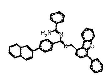 N/C(=N\C(=N/Cc1ccc(-c2ccccc2)c2oc3ccccc3c12)c1ccc(C2=CC3C=CC=CC3C=C2)cc1)c1ccccc1